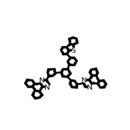 c1cc(-c2cc(-c3cccc(-c4cnc5c6ccccc6c6ccccc6c5n4)c3)cc(-c3cccc(-c4cccc5c4sc4ccccc45)c3)c2)cc(-c2cnc3c4ccccc4c4ccccc4c3n2)c1